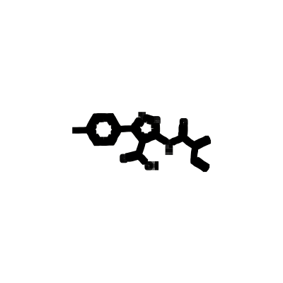 C=CC(=C)C(=O)Nc1onc(-c2ccc(C)cc2)c1C(=O)O